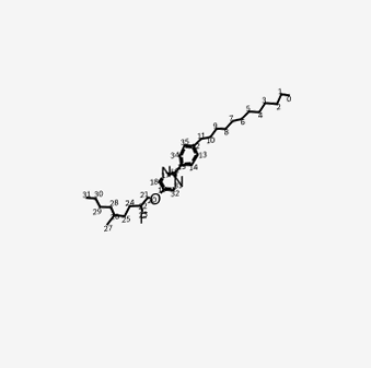 CCCCCCCCCCCCc1ccc(-c2ncc(OCC(F)CCC(C)CCCC)cn2)cc1